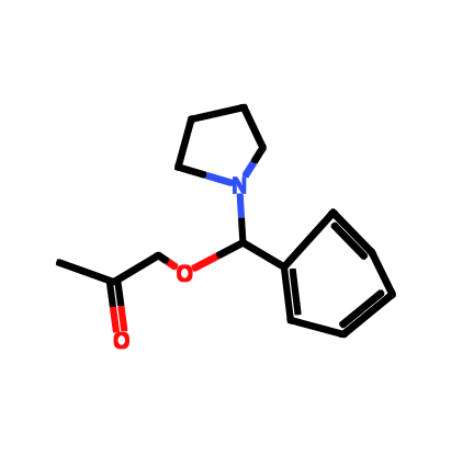 CC(=O)COC(c1ccccc1)N1CCCC1